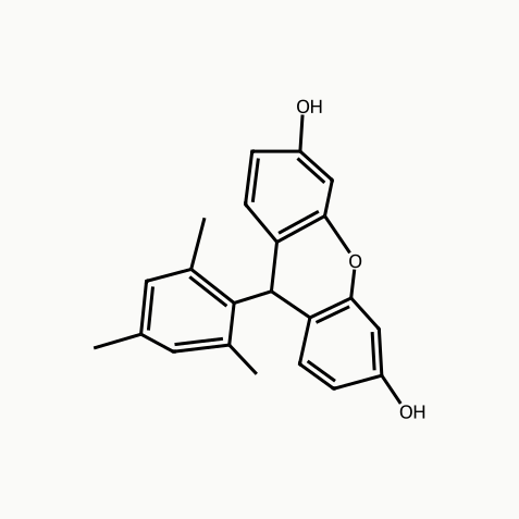 Cc1cc(C)c(C2c3ccc(O)cc3Oc3cc(O)ccc32)c(C)c1